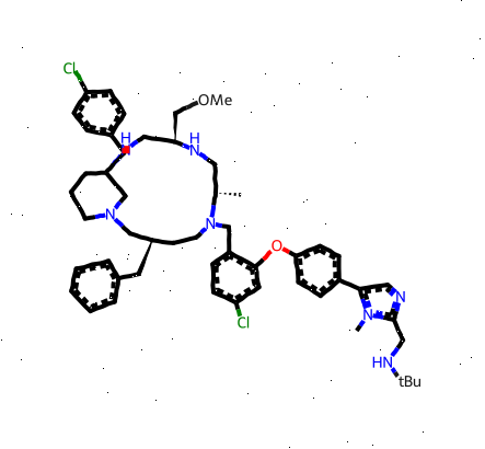 COC[C@@H]1CN[C@@]2(Cc3ccc(Cl)cc3)CCCN(C[C@H](Cc3ccccc3)CCN(Cc3ccc(Cl)cc3Oc3ccc(-c4cnc(CNC(C)(C)C)n4C)cc3)[C@@H](C)CN1)C2